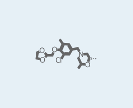 Cc1cc(CN2CC(C)O[C@@H](C)C2)cc(Cl)c1OCC1OCCO1